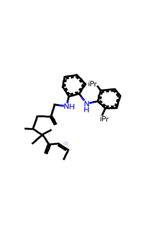 C=C(CNc1ccccc1Nc1c(C(C)C)cccc1C(C)C)CC(C)C(C)(C)C(=C)/C=C\C